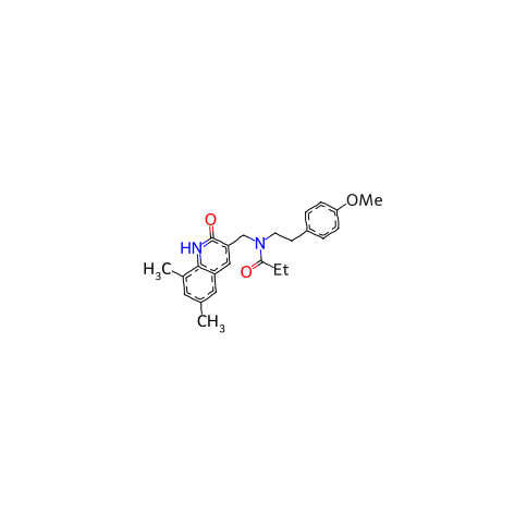 CCC(=O)N(CCc1ccc(OC)cc1)Cc1cc2cc(C)cc(C)c2[nH]c1=O